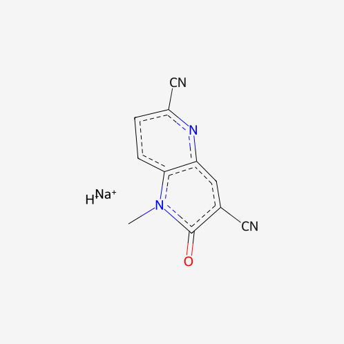 Cn1c(=O)c(C#N)cc2nc(C#N)ccc21.[H-].[Na+]